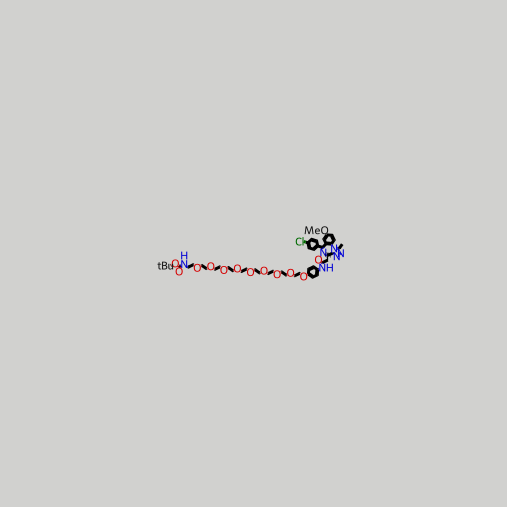 COc1ccc2c(c1)C(c1ccc(Cl)cc1)=N[C@H](CC(=O)Nc1ccc(OCCOCCOCCOCCOCCOCCOCCOCCOCCNC(=O)OC(C)(C)C)cc1)c1nnc(C)n1-2